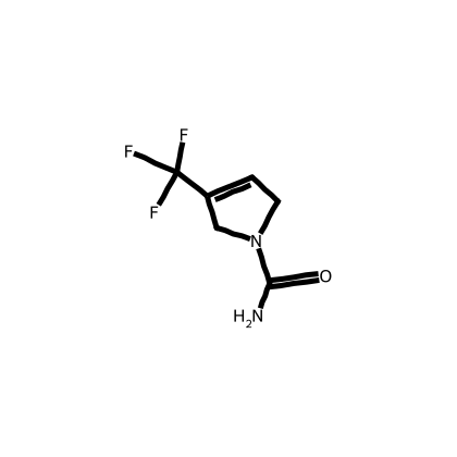 NC(=O)N1CC=C(C(F)(F)F)C1